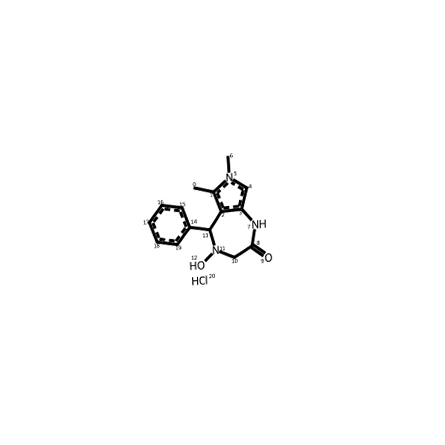 Cc1c2c(cn1C)NC(=O)CN(O)C2c1ccccc1.Cl